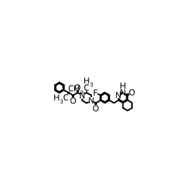 C[C@H]1CN(C(=O)c2cc(Cc3n[nH]c(=O)c4c3CCCC4)ccc2F)CCN1C(=O)C(=O)C(C)(C)c1ccccc1